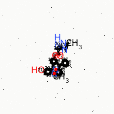 Cc1cnc2c(C(=O)Oc3ccc(-c4nn(C)c5ccc(O)cc45)c(C(c4ccccc4)c4ccccc4)c3)c[nH]c2n1